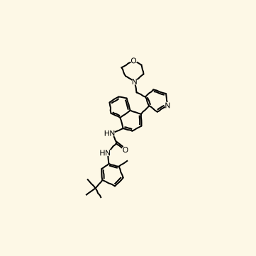 Cc1ccc(C(C)(C)C)cc1NC(=O)Nc1ccc(-c2cnccc2CN2CCOCC2)c2ccccc12